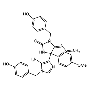 C=C/N=C1/N(Cc2ccc(O)cc2)C(=O)NC1(c1ccc(OC)cc1)c1ncn(Cc2ccc(O)cc2)c1N